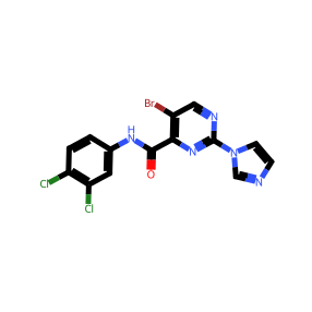 O=C(Nc1ccc(Cl)c(Cl)c1)c1nc(-n2ccnc2)ncc1Br